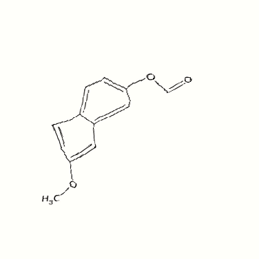 COc1ccc2ccc(OC=O)cc2c1